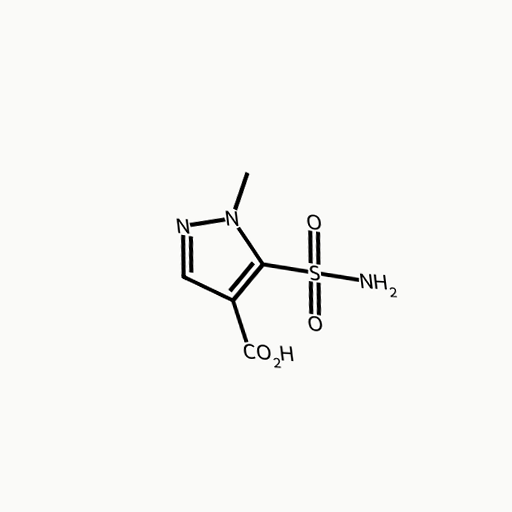 Cn1ncc(C(=O)O)c1S(N)(=O)=O